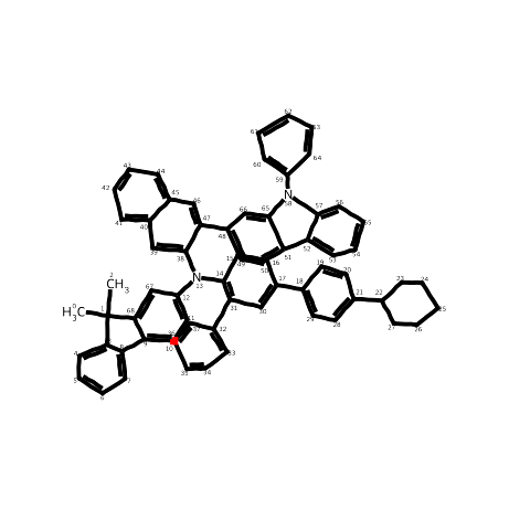 CC1(C)c2ccccc2-c2ccc(N(c3ccc(-c4ccc(C5CCCCC5)cc4)cc3-c3ccccc3)c3cc4ccccc4cc3-c3ccc4c5ccccc5n(-c5ccccc5)c4c3)cc21